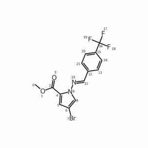 COC(=O)c1cc(Br)cn1N=Cc1ccc(C(F)(F)F)cc1